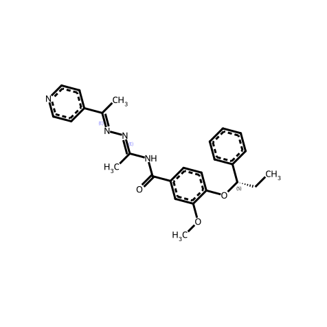 CC[C@H](Oc1ccc(C(=O)N/C(C)=N/N=C(\C)c2ccncc2)cc1OC)c1ccccc1